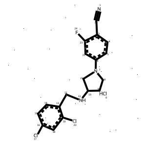 Cl.N#Cc1ccc(N2CCC(NCc3ccc(Cl)cc3Cl)C2)cc1F